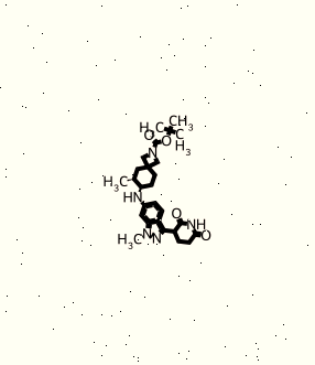 C[C@@H]1CC2(CC[C@H]1Nc1ccc3c(C4CCC(=O)NC4=O)nn(C)c3c1)CN(C(=O)OC(C)(C)C)C2